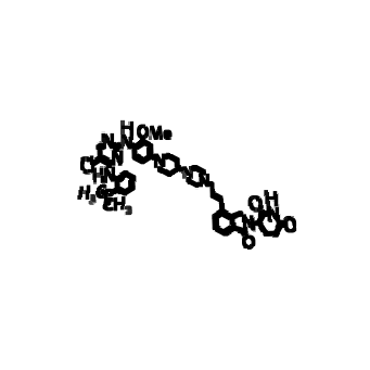 COc1cc(N2CCC(N3CCN(C/C=C/c4cccc5c4CN(C4CCC(=O)NC4=O)C5=O)CC3)CC2)ccc1Nc1ncc(Cl)c(Nc2ccccc2P(C)C)n1